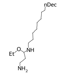 CCCCCCCCCCCCCCCCCCNC(CCN)OCC